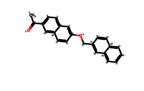 CC(=O)c1ccc2cc(OCc3ccc4ccccc4c3)ccc2c1